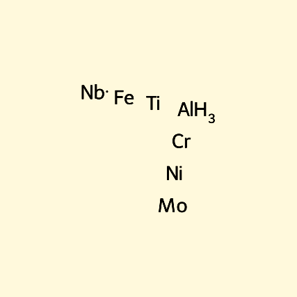 [AlH3].[Cr].[Fe].[Mo].[Nb].[Ni].[Ti]